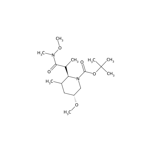 CO[C@@H]1CC(C)[C@@H](C(C)C(=O)N(C)OC)N(C(=O)OC(C)(C)C)C1